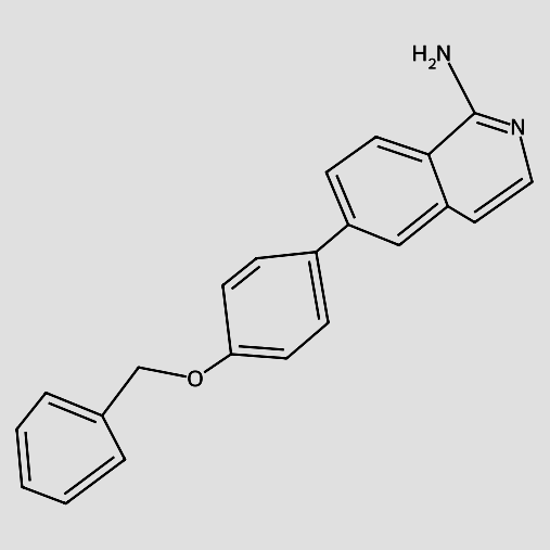 Nc1nccc2cc(-c3ccc(OCc4ccccc4)cc3)ccc12